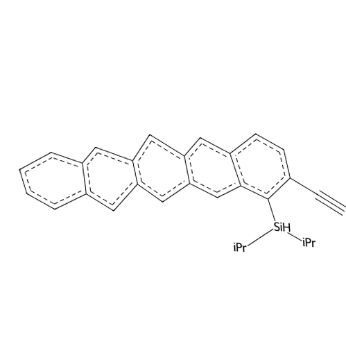 C#Cc1ccc2cc3cc4cc5ccccc5cc4cc3cc2c1[SiH](C(C)C)C(C)C